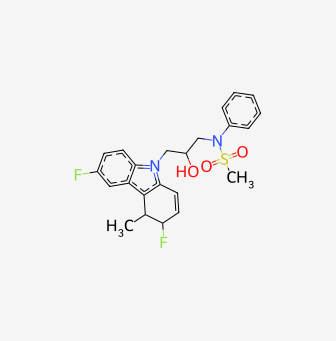 CC1c2c(n(CC(O)CN(c3ccccc3)S(C)(=O)=O)c3ccc(F)cc23)C=CC1F